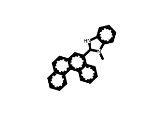 CN1c2ccccc2NC1c1cc2ccc3ccccc3c2c2ccccc12